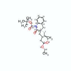 C=CC[C@@]1(CCCC(=O)OCC)Cc2ccccc2N(C(=O)OC(C)(C)C)C1=O